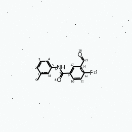 Cc1cccc(NC(=O)c2ccc(F)c(C=O)c2)c1